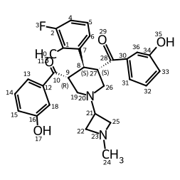 Cc1c(F)cccc1[C@@H]1[C@@H](C(=O)c2cccc(O)c2)CN(C2CN(C)C2)C[C@H]1C(=O)c1cccc(O)c1